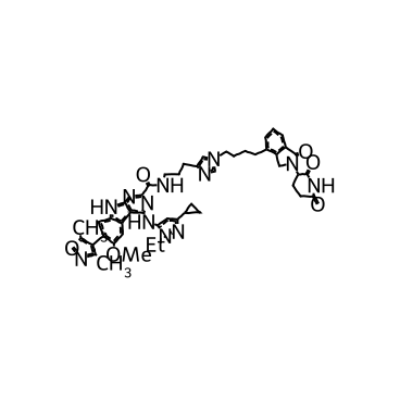 CCn1nc(C2CC2)cc1Nc1nc(C(=O)NCCCc2cn(CCCCc3cccc4c3CN(C3CCC(=O)NC3=O)C4=O)cn2)nc2[nH]c3cc(-c4c(C)noc4C)c(OC)cc3c12